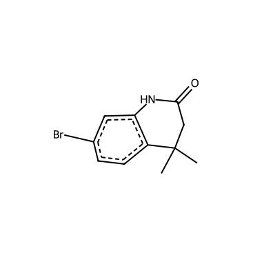 CC1(C)CC(=O)Nc2cc(Br)ccc21